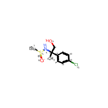 CC(CO)(N[S@@+]([O-])C(C)(C)C)c1ccc(Cl)cc1